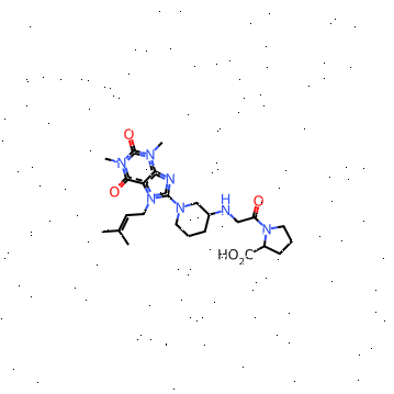 CC(C)=CCn1c(N2CCCC(NCC(=O)N3CCCC3C(=O)O)C2)nc2c1c(=O)n(C)c(=O)n2C